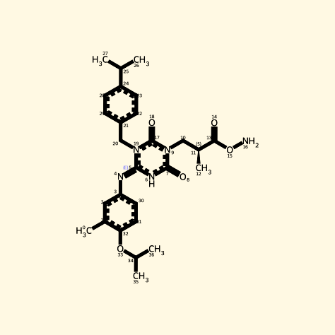 Cc1cc(/N=c2\[nH]c(=O)n(C[C@H](C)C(=O)ON)c(=O)n2Cc2ccc(C(C)C)cc2)ccc1OC(C)C